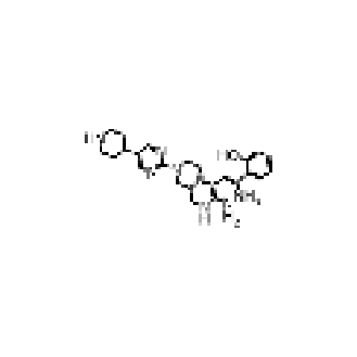 NC1=C(/C=C(\N)c2ccccc2O)N2CCN(c3ncc(C4CCNCC4)cn3)CC2CN1